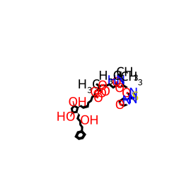 CC(OC(=O)CCC(=O)OC(CNC(C)(C)C)COc1nsnc1N1CCOCC1)C(=O)OC(=O)CCC/C=C\C[C@H]1[C@H](CC[C@H](O)CCc2ccccc2)[C@@H](O)C[C@H]1O